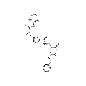 O=C(N[C@@H](CNC(=O)c1ccc(C2CC2C(=O)NC2=NCCCN2)s1)C(=O)O)OCc1ccccc1